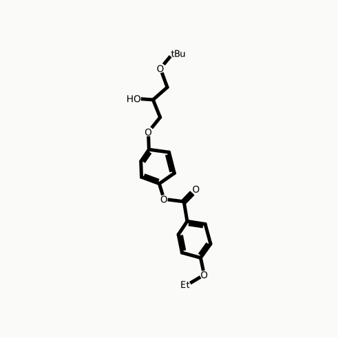 CCOc1ccc(C(=O)Oc2ccc(OCC(O)COC(C)(C)C)cc2)cc1